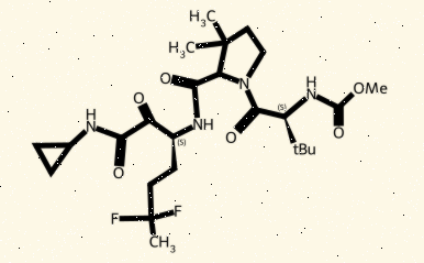 COC(=O)N[C@H](C(=O)N1CCC(C)(C)C1C(=O)N[C@@H](CCC(C)(F)F)C(=O)C(=O)NC1CC1)C(C)(C)C